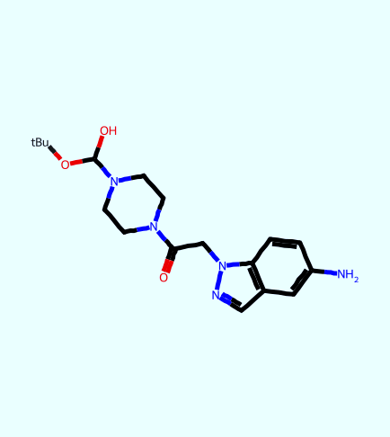 CC(C)(C)OC(O)N1CCN(C(=O)Cn2ncc3cc(N)ccc32)CC1